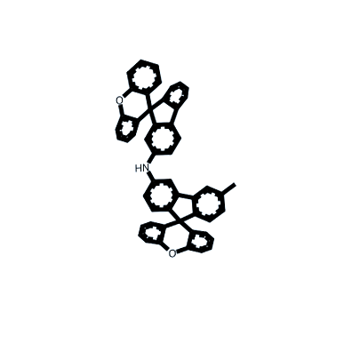 Cc1ccc2c(c1)-c1cc(Nc3ccc4c(c3)C3(c5ccccc5Oc5ccccc53)c3ccccc3-4)ccc1C21c2ccccc2Oc2ccccc21